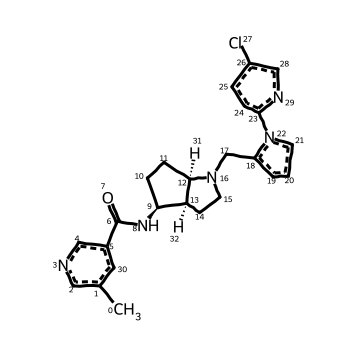 Cc1cncc(C(=O)N[C@H]2CC[C@@H]3[C@H]2CCN3Cc2cccn2-c2ccc(Cl)cn2)c1